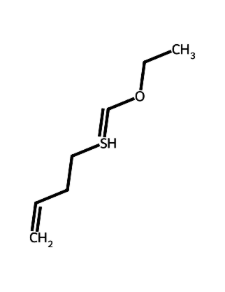 C=CCC[SH]=COCC